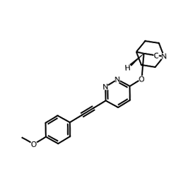 COc1ccc(C#Cc2ccc(O[C@H]3CN4CCC3CC4)nn2)cc1